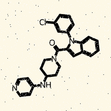 O=C(c1cc2ccccc2n1-c1cccc(Cl)c1)N1CCC(Nc2ccncc2)CC1